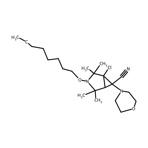 CCCCCCCCON1C(C)(C)C2C(C#N)(N3CCOCC3)C2(Cl)C1(C)C